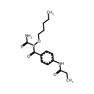 CCCCCON(C(=O)c1ccc(NC(=O)CC)cc1)C(N)=S